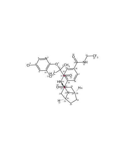 CC(C)(Oc1ncc(Cl)cc1Cl)C(=O)N[C@H]1C[C@H]2CC[C@@H](C1)N2C(=O)c1ccc(C(=O)NCC(F)(F)F)cc1